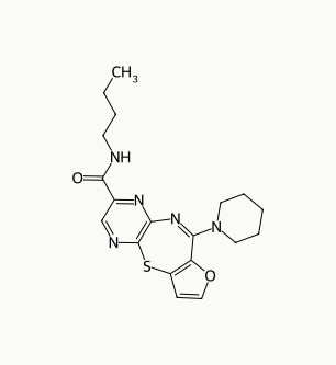 CCCCNC(=O)c1cnc2c(n1)N=C(N1CCCCC1)c1occc1S2